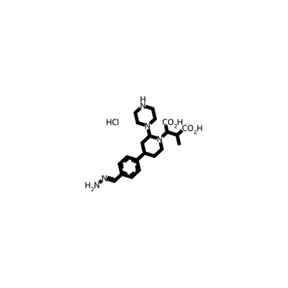 CC(C(=O)O)C(C(=O)O)N1CCC(c2ccc(C=NN)cc2)CC1N1CCNCC1.Cl